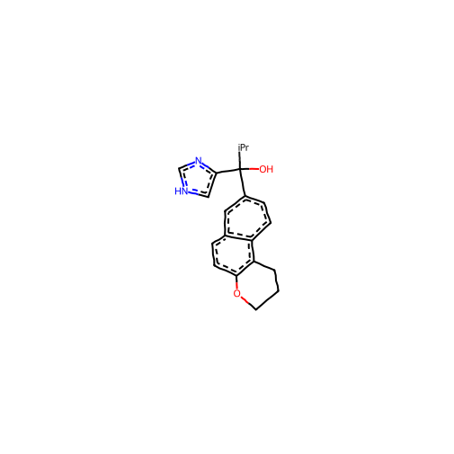 CC(C)C(O)(c1ccc2c3c(ccc2c1)OCCC3)c1c[nH]cn1